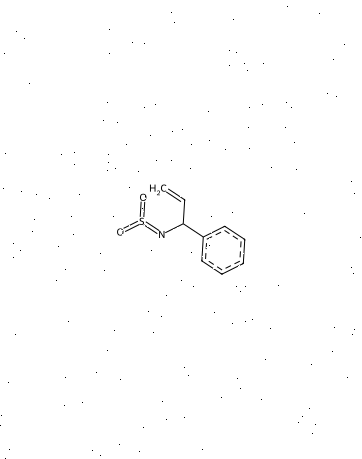 C=CC(N=S(=O)=O)c1ccccc1